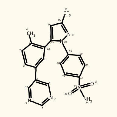 Cc1ccc(-c2cncnc2)cc1-c1cc(C(F)(F)F)nn1-c1ccc(S(N)(=O)=O)cc1